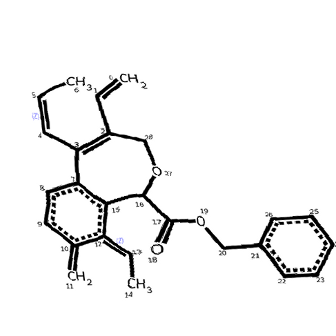 C=CC1=C(/C=C\C)c2ccc(=C)/c(=C\C)c2C(C(=O)OCc2ccccc2)OC1